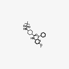 COc1ccc(NC(=O)C2CCC(NS(=O)(=O)C(C)(C)C)CC2)c(Sc2ccccc2)n1